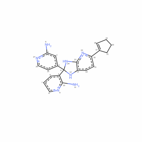 Nc1cc(C2(c3cccnc3N)Nc3ccc(C4=CCCC4)nc3N2)ccn1